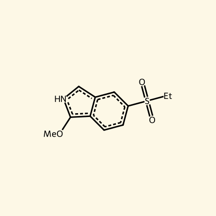 CCS(=O)(=O)c1ccc2c(OC)[nH]cc2c1